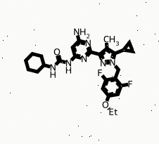 CCOc1cc(F)c(Cn2nc(-c3nc(N)cc(NC(=O)NC4CCCCC4)n3)c(C)c2C2CC2)c(F)c1